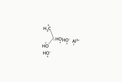 CCO.[Al+3].[OH-].[OH-].[OH-]